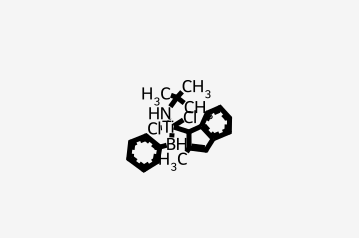 CC1=Cc2ccccc2[CH]1[Ti]([Cl])([Cl])([BH]c1ccccc1)[NH]C(C)(C)C